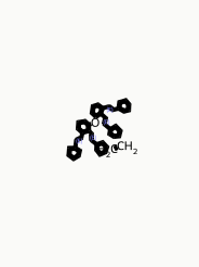 C(=C\c1cccc(Oc2cccc(/C=C/c3ccccc3)c2/C=C/c2ccccc2)c1/C=C/c1ccccc1)/c1ccccc1.C=C